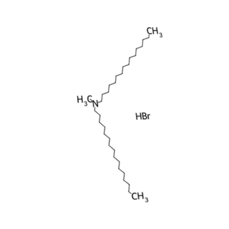 Br.CCCCCCCCCCCCCCCCN(C)CCCCCCCCCCCCCCCC